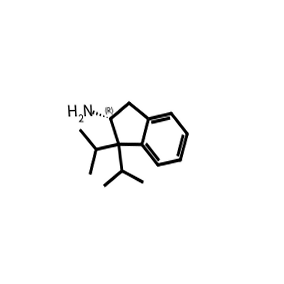 CC(C)C1(C(C)C)c2ccccc2C[C@H]1N